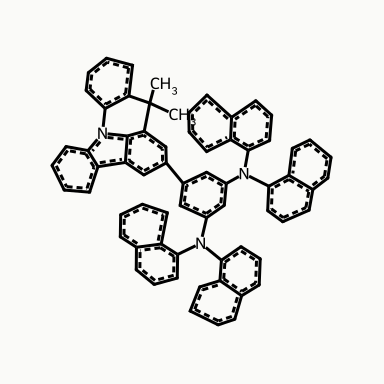 CC1(C)c2ccccc2-n2c3ccccc3c3cc(-c4cc(N(c5cccc6ccccc56)c5cccc6ccccc56)cc(N(c5cccc6ccccc56)c5cccc6ccccc56)c4)cc1c32